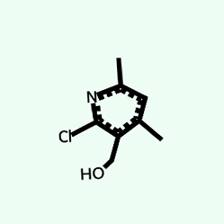 Cc1cc(C)c(CO)c(Cl)n1